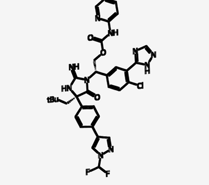 CC(C)(C)C[C@]1(c2ccc(-c3cnn(C(F)F)c3)cc2)NC(=N)N([C@H](COC(=O)Nc2ccccn2)c2ccc(Cl)c(-c3ncn[nH]3)c2)C1=O